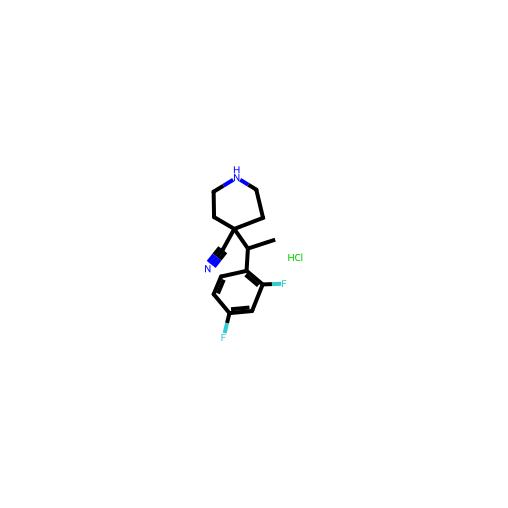 CC(c1ccc(F)cc1F)C1(C#N)CCNCC1.Cl